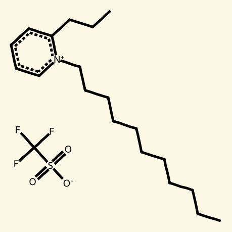 CCCCCCCCCCC[n+]1ccccc1CCC.O=S(=O)([O-])C(F)(F)F